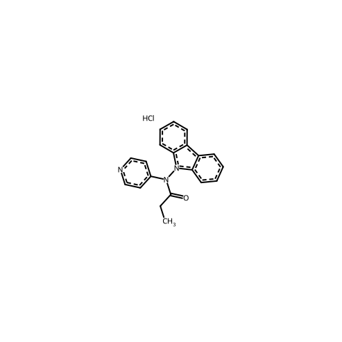 CCC(=O)N(c1ccncc1)n1c2ccccc2c2ccccc21.Cl